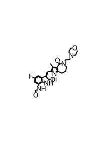 Cc1c(/C=C2\C(=O)Nc3c(NC=O)cc(F)cc32)[nH]c2c1C(=O)N(CCN1CCOCC1)CCC2